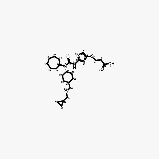 O=C(O)CCSc1cnc(NC(=O)N(C2CCCCCC2)[C@H]2CC[C@H](COCC3CC3)CC2)s1